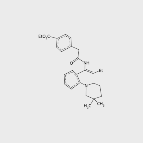 CCC=C(NC(=O)Cc1ccc(C(=O)OCC)cc1)c1ccccc1N1CCCC(C)(C)C1